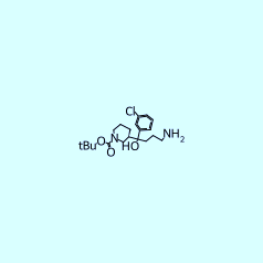 CC(C)(C)OC(=O)N1CCC[C@@H]([C@@](O)(CCCN)c2cccc(Cl)c2)C1